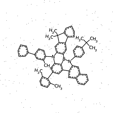 Cc1cc(-c2ccccc2)ccc1N1c2cc3c(cc2B2c4c(cc(-c5c(C)cccc5C)cc41)-c1cc4ccccc4cc1N2c1ccc(C(C)(C)C)cc1)-c1ccccc1C3(C)C